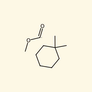 CC1(C)CCCCC1.CO[C]=O